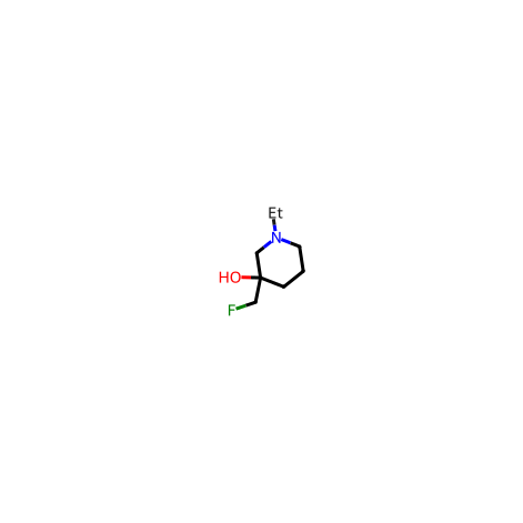 CCN1CCCC(O)(CF)C1